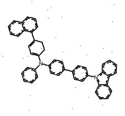 C1=C(c2cccc3ccccc23)CCC(N(c2ccccc2)c2ccc(-c3ccc(-n4c5ccccc5c5ccccc54)cc3)cc2)=C1